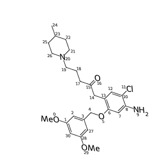 COc1cc(COc2cc(N)c(Cl)cc2CC(=O)CCCN2CCC(C)CC2)cc(OC)c1